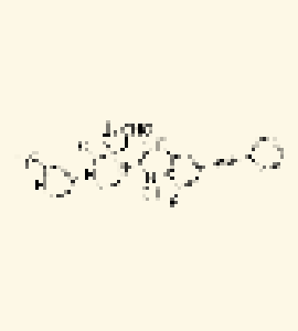 Cc1cc(N2CCN(C(=O)N(C)c3c(F)cc(C#Cc4ccccc4)cc3F)C(C)(CC=O)C2=O)ccn1